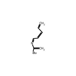 C=C/C=C\C=N/C(=C)C(C)CC